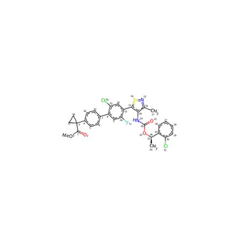 COC(=O)C1(c2ccc(-c3cc(F)c(-c4snc(C)c4NC(=O)O[C@H](C)c4ccccc4Cl)cc3Cl)cc2)CC1